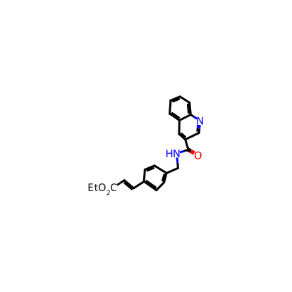 CCOC(=O)C=Cc1ccc(CNC(=O)c2cnc3ccccc3c2)cc1